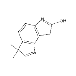 CC1(C)C=Nc2c1ccc1c2CC(O)=N1